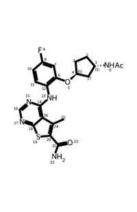 CC(=O)N[C@H]1CC[C@H](Oc2cc(F)ccc2Nc2ncnc3sc(C(N)=O)c(C)c23)C1